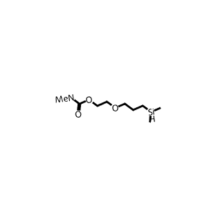 CNC(=O)OCCOCCC[SiH](C)C